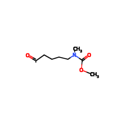 COC(=O)N(C)CCCC[C]=O